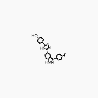 Oc1ccc(-c2nnc(-c3ccc4[nH]nc(-c5ccc(F)cc5)c4c3)[nH]2)cc1